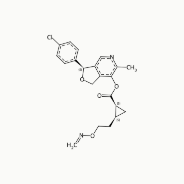 C=NOCC[C@@H]1C[C@@H]1C(=O)Oc1c(C)ncc2c1CO[C@H]2c1ccc(Cl)cc1